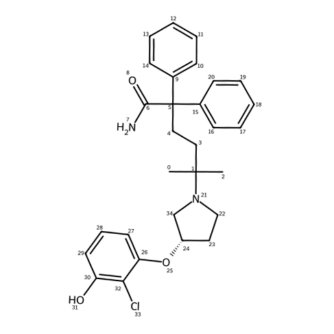 CC(C)(CCC(C(N)=O)(c1ccccc1)c1ccccc1)N1CC[C@H](Oc2cccc(O)c2Cl)C1